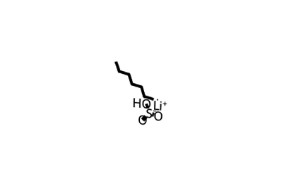 O=[S-](=O)O.[CH2]CCCCCC.[Li+]